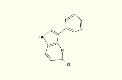 Clc1ccc2[nH]cc(-c3ccccc3)c2n1